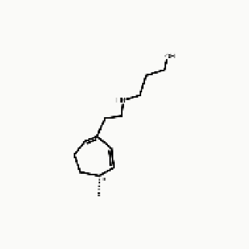 C[C@H]1C=CC(CCNCCCO)=CCC1